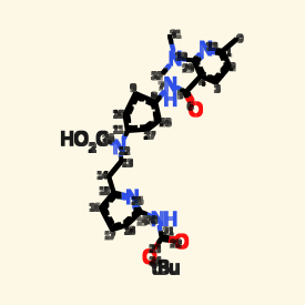 Cc1ccc(C(=O)Nc2ccc(N(CCc3cccc(NC(=O)OC(C)(C)C)n3)C(=O)O)cc2)c(N(C)C)n1